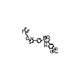 CCS(=O)(=O)c1ccc(C(CO)NC(=O)c2ccc(-c3csc(OCCC(F)(F)F)n3)cc2)cc1